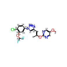 COc1cnc(OC(C)=Cc2cn(-c3ccc(Cl)c(OC(F)F)c3)nn2)nc1